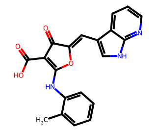 Cc1ccccc1NC1=C(C(=O)O)C(=O)C(=Cc2c[nH]c3ncccc23)O1